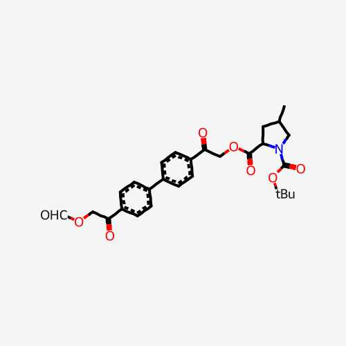 CC1CC(C(=O)OCC(=O)c2ccc(-c3ccc(C(=O)COC=O)cc3)cc2)N(C(=O)OC(C)(C)C)C1